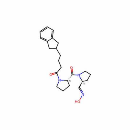 O=C([C@@H]1CCCN1C(=O)CCCC1Cc2ccccc2C1)N1CCC[C@H]1C=NO